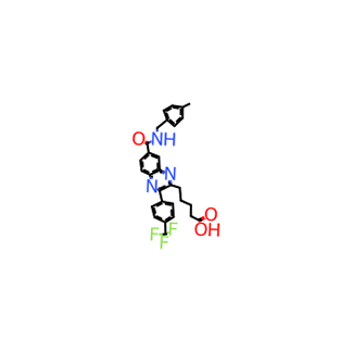 Cc1ccc(CNC(=O)c2ccc3nc(-c4ccc(C(F)(F)F)cc4)c(CCCCC(=O)O)nc3c2)cc1